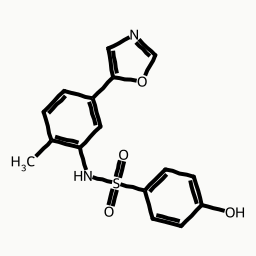 Cc1ccc(-c2cnco2)cc1NS(=O)(=O)c1ccc(O)cc1